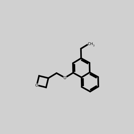 CCc1cc(OCC2COC2)c2ccccc2c1